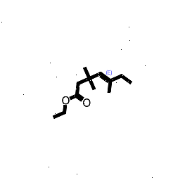 CCOC(=O)CC(C)(C)/C=C(\C)CC